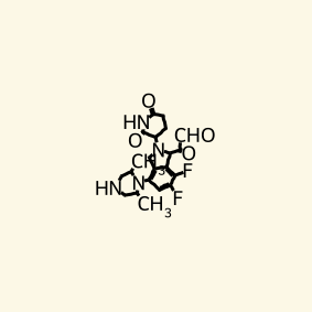 CC1CNCC(C)N1c1cc(F)c(F)c2c1CN(C1CCC(=O)NC1=O)C2C(=O)C=O